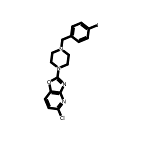 Clc1ccc2oc(N3CCN(Cc4ccc(I)cc4)CC3)nc2n1